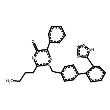 CCCCc1nc(=O)c(-c2ccccc2)nn1Cc1ccc(-c2ccccc2-c2nnn[nH]2)cc1